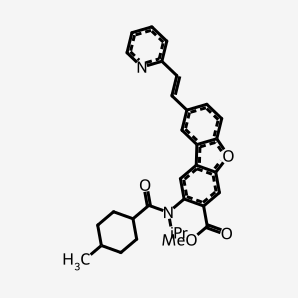 COC(=O)c1cc2oc3ccc(/C=C/c4ccccn4)cc3c2cc1N(C(=O)C1CCC(C)CC1)C(C)C